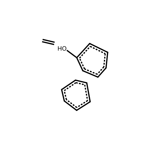 C=C.Oc1ccccc1.c1ccccc1